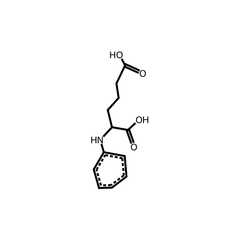 O=C(O)CCCC(Nc1ccccc1)C(=O)O